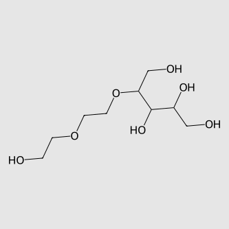 OCCOCCOC(CO)C(O)C(O)CO